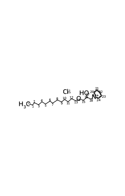 CCCCCCCCCCCCCCOCC(O)C[n+]1ccccc1.[Cl-]